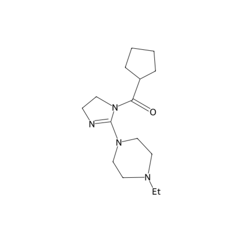 CCN1CCN(C2=NCCN2C(=O)C2CCCC2)CC1